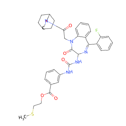 CSCCOC(=O)c1cccc(NC(=O)NC2N=C(c3ccccc3F)c3ccccc3N(CC(=O)N3CC4CCC(CC4)C3)C2=O)c1